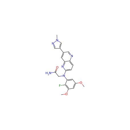 COc1cc(OC)c(F)c(N(CC(N)=O)c2ccc3ncc(-c4cnn(C)c4)cc3n2)c1